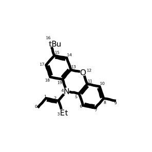 C/C=C(\CC)N1c2ccc(C)cc2Oc2cc(C(C)(C)C)ccc21